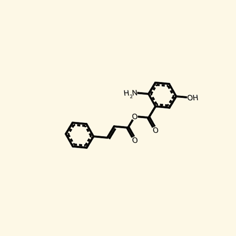 Nc1ccc(O)cc1C(=O)OC(=O)C=Cc1ccccc1